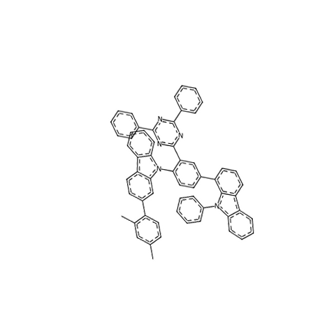 Cc1ccc(-c2ccc3c4ccccc4n(-c4ccc(-c5cccc6c7ccccc7n(-c7ccccc7)c56)cc4-c4nc(-c5ccccc5)nc(-c5ccccc5)n4)c3c2)c(C)c1